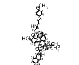 COc1ccc(CCCNCCCOc2cccc([C@@H]3O[C@@H](CC(=O)NCc4ccccc4F)C(=O)N(CC(C)(C)C)c4ccc(Cl)cc43)c2OC)cc1.Cl